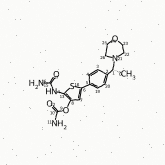 C[C@H](c1ccc(-c2cc(OC(N)=O)c(NC(N)=O)s2)cc1)N1CCOCC1